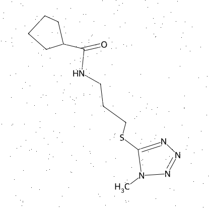 Cn1nnnc1SCCCNC(=O)C1CCCC1